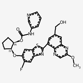 COc1cnc2c(-c3nc4cc(F)c(O[C@H]5CCC[C@H]5OC(=O)Nc5cccnc5)cc4s3)cc(CO)cc2n1